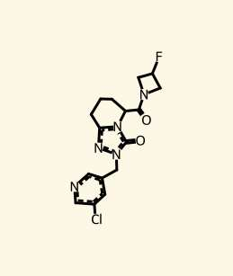 O=C(C1CCCc2nn(Cc3cncc(Cl)c3)c(=O)n21)N1CC(F)C1